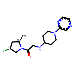 N#C[C@@H]1C[C@H](F)CN1C(=O)CNC1CCN(c2cnccn2)CC1